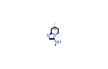 CNc1cnc2n1CC[C@@H](C)C2